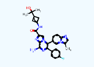 Cc1cnc2ccc(-c3c(-c4ccc(F)cc4)nc(N)c4nc(C(=O)NC56CC(C(C)(C)O)(C5)C6)cn34)cn12